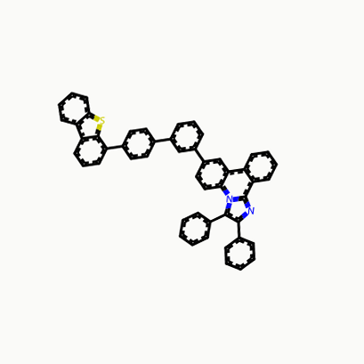 c1ccc(-c2nc3c4ccccc4c4cc(-c5cccc(-c6ccc(-c7cccc8c7sc7ccccc78)cc6)c5)ccc4n3c2-c2ccccc2)cc1